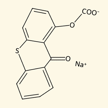 O=C([O-])Oc1cccc2sc3ccccc3c(=O)c12.[Na+]